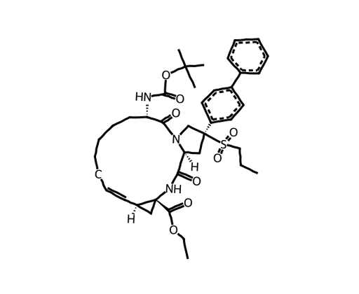 CCCS(=O)(=O)[C@@]1(c2ccc(-c3ccccc3)cc2)C[C@H]2C(=O)N[C@]3(C(=O)OCC)C[C@H]3C=CCCCCC[C@H](NC(=O)OC(C)(C)C)C(=O)N2C1